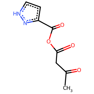 CC(=O)CC(=O)OC(=O)c1cc[nH]n1